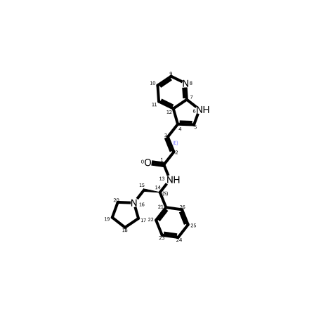 O=C(/C=C/c1c[nH]c2ncccc12)N[C@H](CN1CCCC1)c1ccccc1